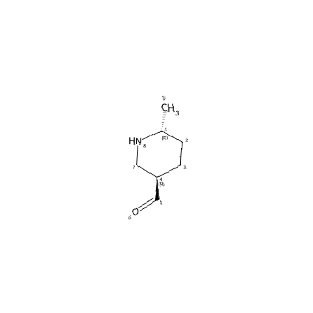 C[C@@H]1CC[C@@H](C=O)CN1